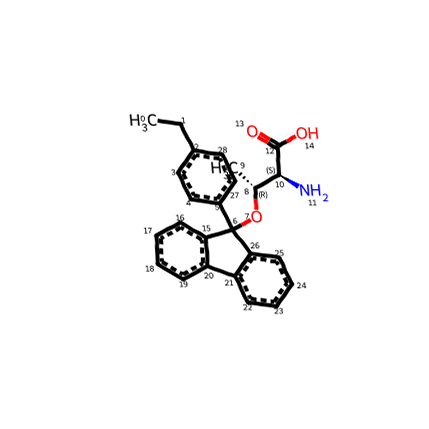 CCc1ccc(C2(O[C@H](C)[C@H](N)C(=O)O)c3ccccc3-c3ccccc32)cc1